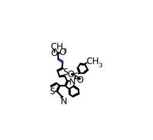 COC(=O)/C=C/c1ccc(-c2c(-c3ccsc3C#N)c3ccccc3n2S(=O)(=O)c2ccc(C)cc2)s1